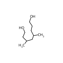 CC(CCO)CC(C)CCCO